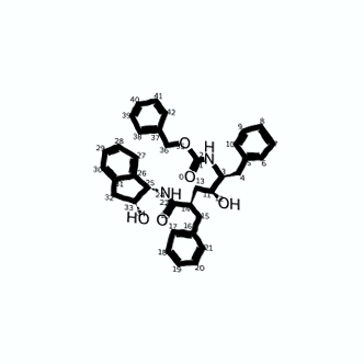 O=C(N[C@@H](Cc1ccccc1)[C@@H](O)C[C@@H](Cc1ccccc1)C(=O)N[C@H]1c2ccccc2C[C@H]1O)OCc1ccccc1